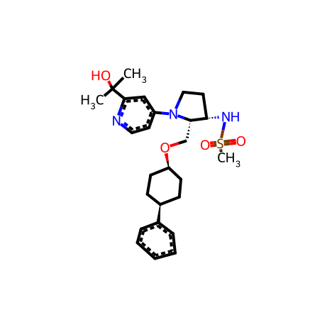 CC(C)(O)c1cc(N2CC[C@H](NS(C)(=O)=O)[C@@H]2CO[C@H]2CC[C@@H](c3ccccc3)CC2)ccn1